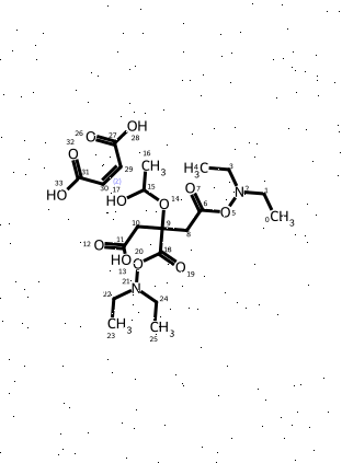 CCN(CC)OC(=O)CC(CC(=O)O)(OC(C)O)C(=O)ON(CC)CC.O=C(O)/C=C\C(=O)O